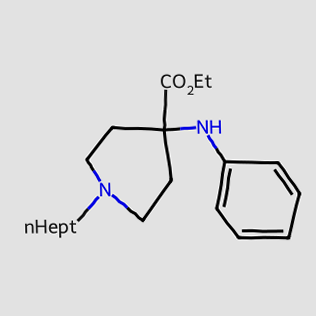 CCCCCCCN1CCC(Nc2ccccc2)(C(=O)OCC)CC1